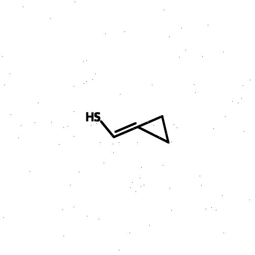 SC=C1CC1